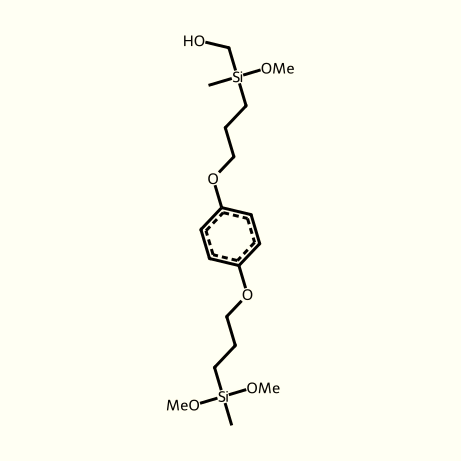 CO[Si](C)(CO)CCCOc1ccc(OCCC[Si](C)(OC)OC)cc1